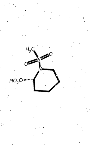 CS(=O)(=O)N1CCCC[C@@H]1C(=O)O